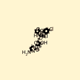 Nc1ccn([C@@H]2O[C@H](COP(=O)(N[C@H]3CCOC3=O)Oc3ccc(Cl)cc3Cl)[C@@H](O)C2(F)F)c(=O)n1